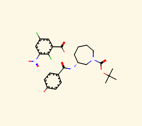 CC(C)(C)OC(=O)N1CCC[C@@H](OC(=O)c2cc(Cl)cc([N+](=O)[O-])c2Cl)[C@H](NC(=O)c2ccc(O)cc2)C1